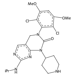 COc1cc(OC)c(Cl)c(N2Cc3cnc(NC(C)C)nc3N(C3CCNCC3)C2=O)c1Cl